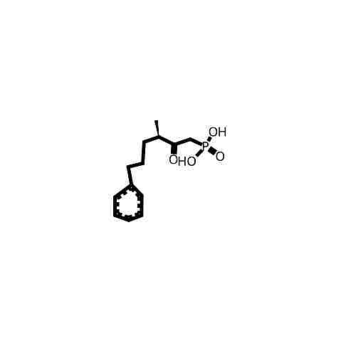 C[C@H](CCCc1ccccc1)C(=O)CP(=O)(O)O